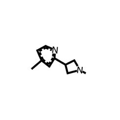 Cc1ccnc(C2CN(C)C2)c1